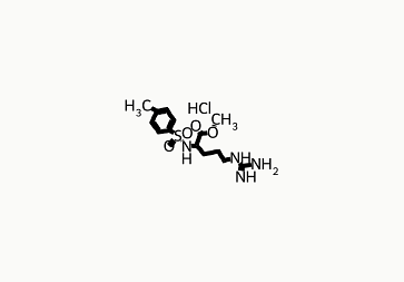 COC(=O)C(CCCNC(=N)N)NS(=O)(=O)c1ccc(C)cc1.Cl